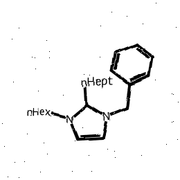 CCCCCCCC1N(CCCCCC)C=CN1Cc1ccccc1